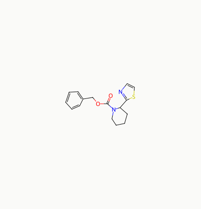 O=C(OCc1ccccc1)N1CCCCC1c1nccs1